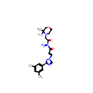 CC1(C)COCCN1CC(=O)N(N)C(=O)C=Cn1cnc(-c2cc(C(F)(F)F)cc(C(F)(F)F)c2)n1